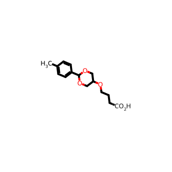 Cc1ccc(C2OCC(OCCCC(=O)O)CO2)cc1